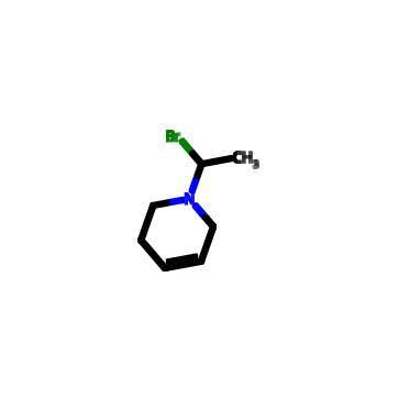 CC(Br)N1CC=CCC1